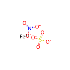 O=S(=O)([O-])[O-].O=[N+]([O-])[O-].[Fe+3]